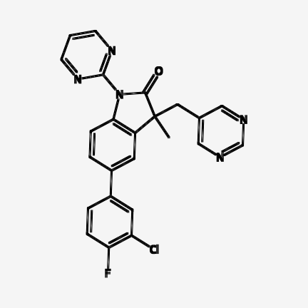 CC1(Cc2cncnc2)C(=O)N(c2ncccn2)c2ccc(-c3ccc(F)c(Cl)c3)cc21